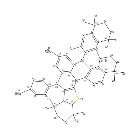 Cc1cc2c(c3c1N1c4cc(C(C)(C)C)cc5c4B(C4=C(C6C(S4)C(C)(C)CCC6(C)C)N5c4ccc(C(C)(C)C)cc4)c4ccc5c(c41)C3(C)CCC5(C)C)C(C)(C)CCC2(C)C